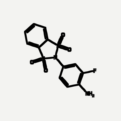 Nc1ccc(N2S(=O)(=O)c3ccccc3S2(=O)=O)cc1F